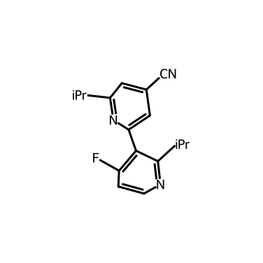 CC(C)c1cc(C#N)cc(-c2c(F)ccnc2C(C)C)n1